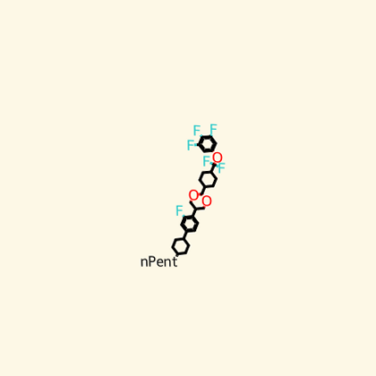 CCCCCC1CCC(c2ccc(C3COC(C4CCC(C(F)(F)Oc5cc(F)c(F)c(F)c5)CC4)OC3)c(F)c2)CC1